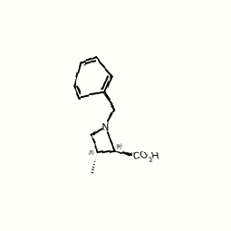 C[C@@H]1CN(Cc2ccccc2)[C@H]1C(=O)O